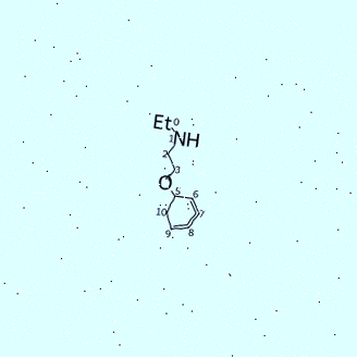 CCNCCOC1C=C=C=CC1